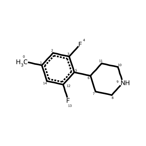 Cc1cc(F)c(C2CCNCC2)c(F)c1